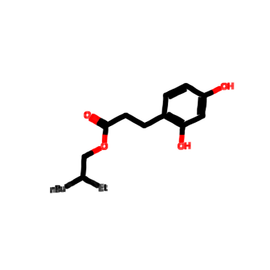 CCCCC(CC)COC(=O)CCc1ccc(O)cc1O